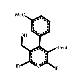 CCCCCc1c(C(C)C)nc(C(C)C)c(CO)c1-c1cccc(OC)c1